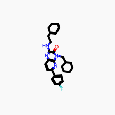 O=c1c(NCCC2=CCCCC2)nc2ccc(-c3ccc(F)cc3)nc2n1CC1CCCCC1